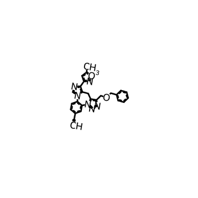 C#Cc1ccc2c(c1)-n1nnc(COCc3ccccc3)c1Cc1c(-c3cc(C)on3)ncn1-2